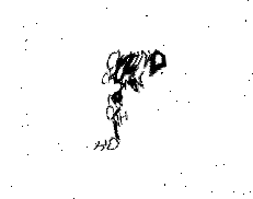 O=C(Cn1cc(-c2nnc(NC3CCCC3)c3cc(Cl)c(Cl)cc23)cn1)NCCO